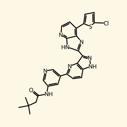 CC(C)(C)CC(=O)Nc1cncc(-c2ccc3[nH]nc(-c4nc5c(-c6ccc(Cl)s6)ccnc5[nH]4)c3n2)c1